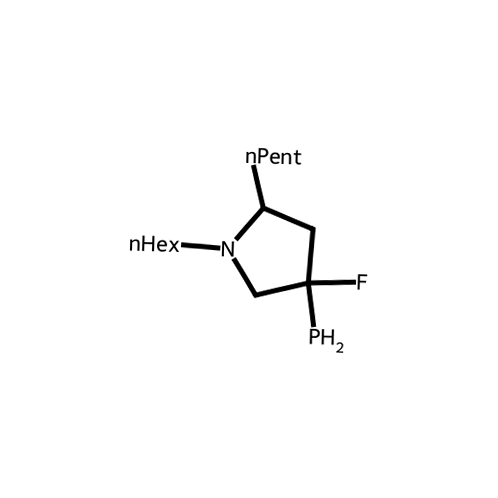 CCCCCCN1CC(F)(P)CC1CCCCC